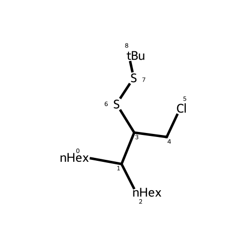 CCCCCCC(CCCCCC)C(CCl)SSC(C)(C)C